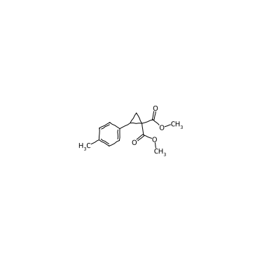 COC(=O)C1(C(=O)OC)CC1c1ccc(C)cc1